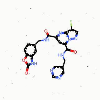 O=C(NCc1ccc2oc(=O)[nH]c2c1)c1cc(C(=O)NCc2cncnc2)n2ncc(F)c2n1